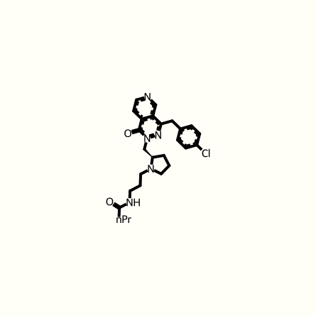 CCCC(=O)NCCCN1CCC[C@@H]1Cn1nc(Cc2ccc(Cl)cc2)c2cnccc2c1=O